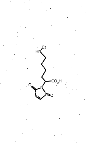 CCNCCCCC(C(=O)O)N1C(=O)C=CC1=O